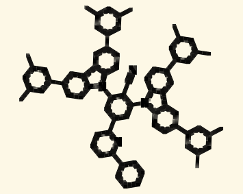 Cc1cc(C)cc(-c2ccc3c(c2)c2cc(-c4cc(C)cc(C)c4)ccc2n3-c2cc(-c3cccc(-c4ccccc4)n3)cc(-n3c4ccc(-c5cc(C)cc(C)c5)cc4c4cc(-c5cc(C)cc(C)c5)ccc43)c2C#N)c1